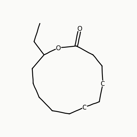 CCC1CCCCCCCCCCC(=O)O1